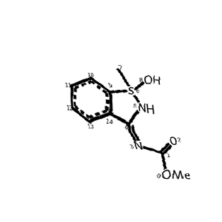 COC(=O)N=C1NS(C)(O)c2ccccc21